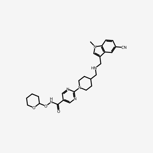 Cn1cc(CNCC2CCN(c3ncc(C(=O)NOC4CCCCO4)cn3)CC2)c2cc(C#N)ccc21